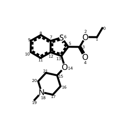 CCOC(=O)c1sc2ccccc2c1OC1CCN(C)CC1